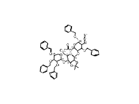 C[C@H]1O[C@@H](OC2C(OCc3ccccc3)C(N=[N+]=[N-])[C@@H](COCc3ccccc3)O[C@@H]2OC(=O)C(Cl)(Cl)Cl)C2OC(C)(C)OC2[C@H]1O[C@@H]1OC[C@@H](OCc2ccccc2)C(OCc2ccccc2)C1OCc1ccccc1